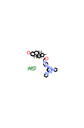 C[C@@H]1C[C@H]2[C@@H]3CCC4=CC(=O)C=C[C@]4(C)[C@H]3CC[C@]2(C)[C@H]1C(=O)CN1CCN(c2cc(N3CCCC3)nc(N3CCCC3)n2)CC1.Cl.Cl